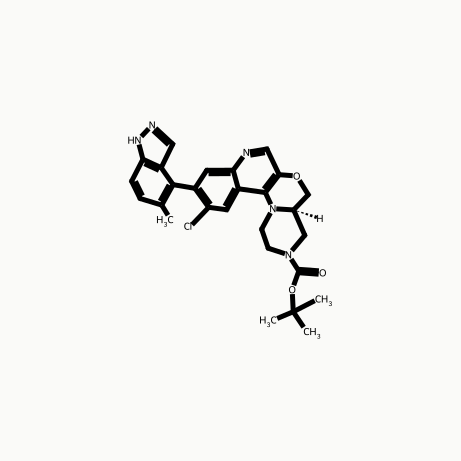 Cc1ccc2[nH]ncc2c1-c1cc2ncc3c(c2cc1Cl)N1CCN(C(=O)OC(C)(C)C)C[C@@H]1CO3